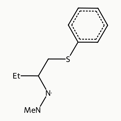 CCC(CSc1ccccc1)[N]NC